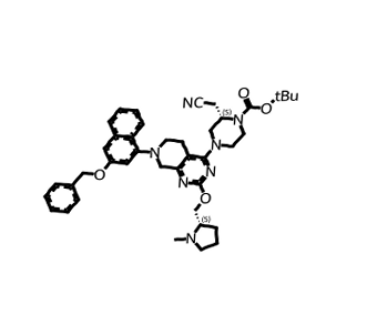 CN1CCC[C@H]1COc1nc2c(c(N3CCN(C(=O)OC(C)(C)C)[C@@H](CC#N)C3)n1)CCN(c1cc(OCc3ccccc3)cc3ccccc13)C2